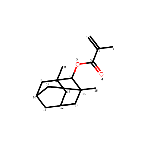 C=C(C)C(=O)OC1C2(C)CC3CC(C2)CC1(C)C3